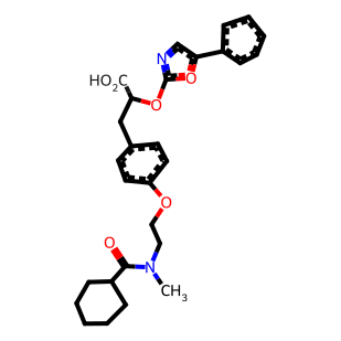 CN(CCOc1ccc(CC(Oc2ncc(-c3ccccc3)o2)C(=O)O)cc1)C(=O)C1CCCCC1